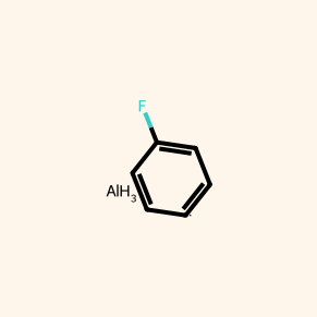 Fc1cc[c]cc1.[AlH3]